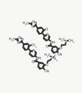 Cc1nc(-c2ccc(-c3ccc(NC(=O)c4ccc(C#N)c(OCCN(C)C)c4)cn3)c(C(F)(F)F)c2)no1.Cc1nc(-c2ccc(-c3ccc(NC(=O)c4ccc(C#N)c(OCCN(C)C)c4)cn3)c(Cl)c2)no1